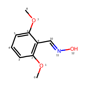 COc1cccc(OC)c1/C=N/O